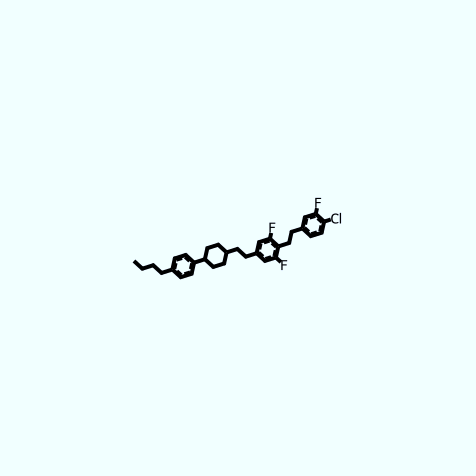 CCCCc1ccc(C2CCC(CCc3cc(F)c(CCc4ccc(Cl)c(F)c4)c(F)c3)CC2)cc1